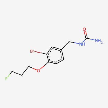 NC(=O)NCc1ccc(OCCCF)c(Br)c1